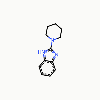 c1ccc2[nH]c(N3CCCCC3)nc2c1